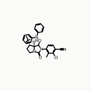 Cc1c(N2C(=O)N3CC[C@H](C(C)(C)C)[C@@H]3C2O[SiH](c2ccccc2)c2ccccc2)ccc(C#N)c1Cl